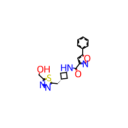 O=C(N[C@H]1C[C@@H](Cc2nnc(CO)s2)C1)c1cc(-c2ccccc2)on1